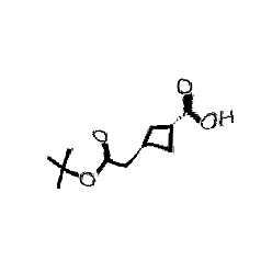 CC(C)(C)OC(=O)C[C@H]1C[C@H](C(=O)O)C1